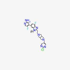 CC(C)n1c(CCN2CC3CN(Cc4cnc(Cl)nc4)CC3C2)nc2c(F)cc(-c3cc(N)ncc3F)cc21